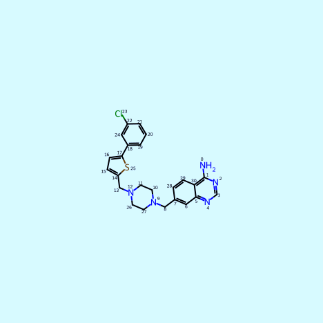 Nc1ncnc2cc(CN3CCN(Cc4ccc(-c5cccc(Cl)c5)s4)CC3)ccc12